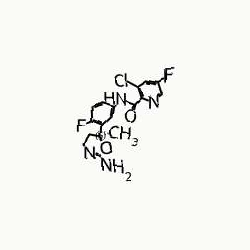 C[C@@]1(c2cc(NC(=O)c3ncc(F)cc3Cl)ccc2F)CCN=C(N)O1